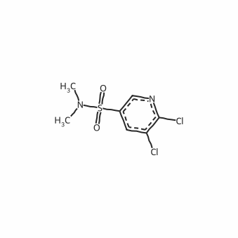 CN(C)S(=O)(=O)c1cnc(Cl)c(Cl)c1